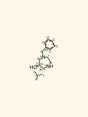 CC(C)C[C@H]1NCCN(Cc2ccccc2)C[C@@H]1O